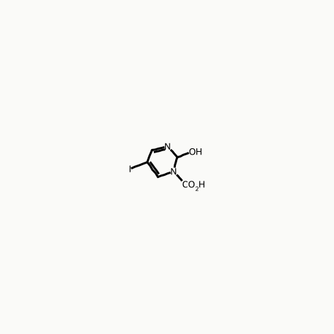 O=C(O)N1C=C(I)C=NC1O